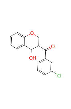 O=C(c1cccc(Cl)c1)C1COc2ccccc2C1O